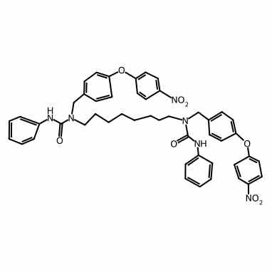 O=C(Nc1ccccc1)N(CCCCCCCCN(Cc1ccc(Oc2ccc([N+](=O)[O-])cc2)cc1)C(=O)Nc1ccccc1)Cc1ccc(Oc2ccc([N+](=O)[O-])cc2)cc1